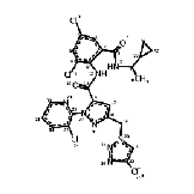 CC(NC(=O)c1cc(Cl)cc(Cl)c1NC(=O)c1cc(Cn2cc(C(F)(F)F)nn2)nn1-c1ncccc1Cl)C1CC1